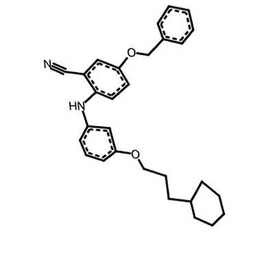 N#Cc1cc(OCc2ccccc2)ccc1Nc1cccc(OCCCC2CCCCC2)c1